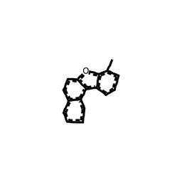 Cc1cccc2c1oc1ccc3ccccc3c12